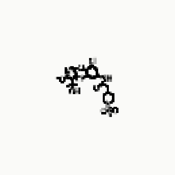 COc1ncc(Oc2c(Cl)cc(NC(=O)CC3CCN(S(C)(=O)=O)CC3)cc2Cl)cc1C(C)(C)O